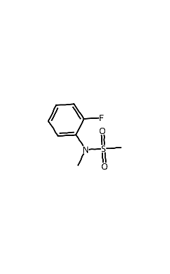 CN(c1ccccc1F)S(C)(=O)=O